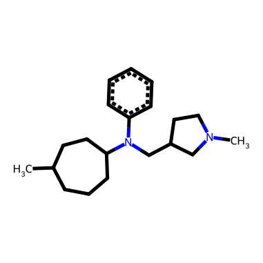 CC1CCCC(N(CC2CCN(C)C2)c2ccccc2)CC1